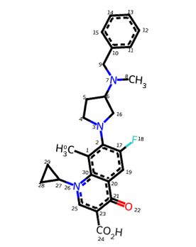 Cc1c(N2CCC(N(C)Cc3ccccc3)C2)c(F)cc2c(=O)c(C(=O)O)cn(C3CC3)c12